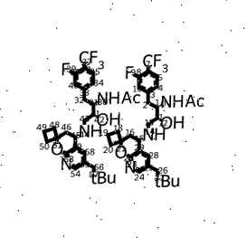 CC(=O)N[C@@H](Cc1ccc(C(F)(F)F)c(F)c1)[C@H](O)CN[C@H]1CC2(CCC2)Oc2ncc(CC(C)(C)C)cc21.CC(=O)N[C@H](Cc1ccc(C(F)(F)F)c(F)c1)[C@@H](O)CN[C@H]1CC2(CCC2)Oc2ncc(CC(C)(C)C)cc21